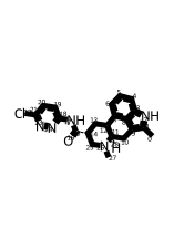 Cc1[nH]c2cccc3c2c1C[C@@H]1C3C[C@@H](C(=O)Nc2ccc(Cl)nn2)CN1C